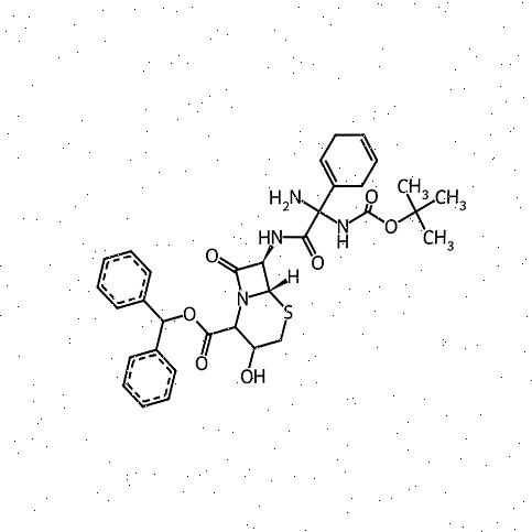 CC(C)(C)OC(=O)NC(N)(C(=O)N[C@@H]1C(=O)N2C(C(=O)OC(c3ccccc3)c3ccccc3)C(O)CS[C@@H]12)C1=CCC=CC1